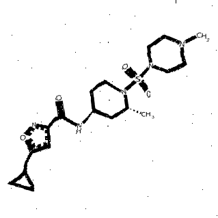 C[C@@H]1C[C@@H](NC(=O)c2cc(C3CC3)on2)CCN1S(=O)(=O)N1CCN(C)CC1